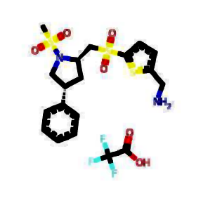 CS(=O)(=O)N1C[C@@H](c2ccccc2)C[C@@H]1CS(=O)(=O)c1ccc(CN)s1.O=C(O)C(F)(F)F